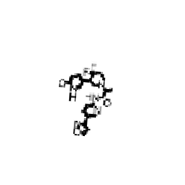 CC(C(=O)Nc1ccc(-c2ccon2)cn1)N1CCC(F)(F)C(c2ccc(=O)[nH]c2)C1